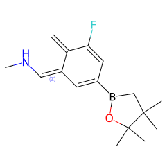 C=c1c(F)cc(B2CC(C)(C)C(C)(C)O2)c/c1=C/NC